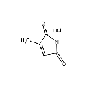 CC1=CC(=O)NC1=O.Cl